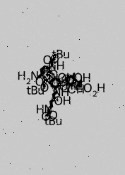 CN(C(=O)O)[C@@H]1[C@@H](O)[C@@H](O[C@@H]2[C@@H](O)[C@H](O[C@H]3OC(CN)=CC[C@H]3NC(=O)OC(C)(C)C)[C@@H](NC(=O)OC(C)(C)C)C[C@H]2NC[C@@H](O)CCNC(=O)OC(C)(C)C)OC[C@]1(C)O